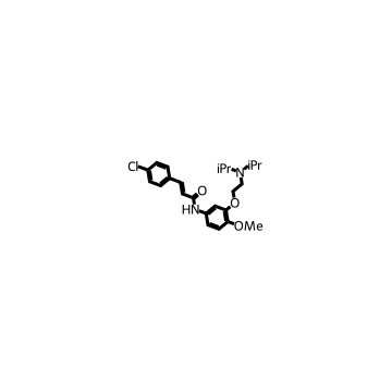 COc1ccc(NC(=O)C=Cc2ccc(Cl)cc2)cc1OCCN(C(C)C)C(C)C